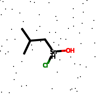 CC(C)[CH2][SnH]([OH])[Cl]